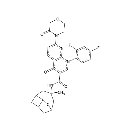 C[C@@]1(NC(=O)c2cn(-c3ccc(F)cc3F)c3nc(N4CCOCC4=O)ccc3c2=O)CC2CC3CC(C1)C3C2